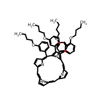 CCCCOc1cccc(-c2c(-c3cccc(OCCCC)c3)c3c(-c4cccc(OCCCC)c4)c4nc(cc5ccc(cc6nc(cc2n3-c2cccc(OCCCC)c2)C=C6)[nH]5)C=C4)c1